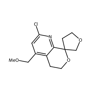 COCc1cc(Cl)nc2c1CCOC21CCOC1